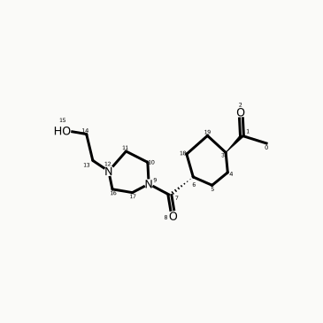 CC(=O)[C@H]1CC[C@H](C(=O)N2CCN(CCO)CC2)CC1